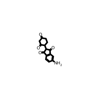 Nc1ccc2c(c1)C(=O)C(C1CCC(=O)CC1=O)C2=O